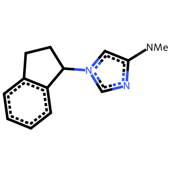 CNc1cn(C2CCc3ccccc32)cn1